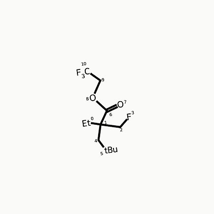 CCC(CF)(CC(C)(C)C)C(=O)OCC(F)(F)F